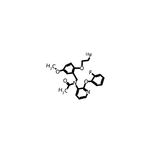 COc1ccc(OCC[18F])c(CN(C(C)=O)c2cccnc2Oc2ccccc2F)c1